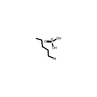 CCCC[CH2][Ni].O=[PH](O)O